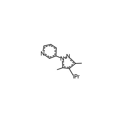 Cc1nn(-c2cccnc2)c(C)c1C(C)C